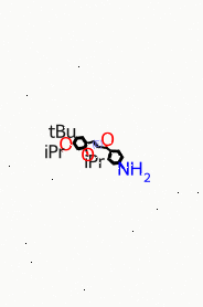 CC(C)Oc1cc(OC(C)C)c(C(C)(C)C)cc1/C=C/C(=O)c1ccc(N)cc1